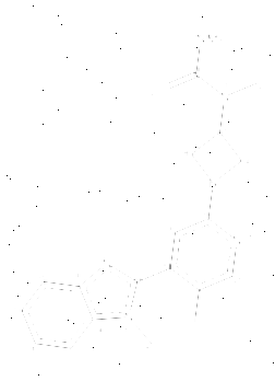 CNC(=O)N(C)C1CN(c2cc(-c3nc4ccccc4n3C)c(Cl)cn2)C1